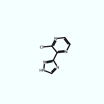 Clc1nccnc1-c1nc[nH]n1